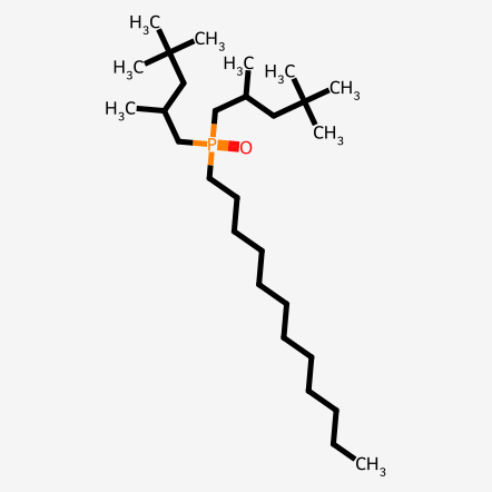 CCCCCCCCCCCCP(=O)(CC(C)CC(C)(C)C)CC(C)CC(C)(C)C